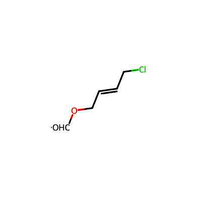 O=[C]OCC=CCCl